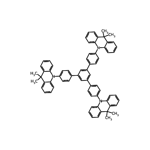 CC1(C)c2ccccc2N(c2ccc(-c3cc(-c4ccc(N5c6ccccc6C(C)(C)c6ccccc65)cc4)cc(-c4ccc(N5c6ccccc6C(C)(C)c6ccccc65)cc4)c3)cc2)c2ccccc21